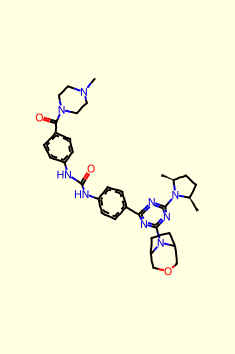 C[C@@H]1CC[C@H](C)N1c1nc(-c2ccc(NC(=O)Nc3ccc(C(=O)N4CCN(C)CC4)cc3)cc2)nc(N2C3CCC2COC3)n1